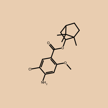 COc1cc(N)c(Cl)cc1C(=O)OC1CC2CCC1(C)C2(C)C